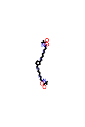 CC1(C)N=C(C/C=C/CC/C=C/C2CCC(/C=C/CC/C=C/CC3=NC(C)(C)C(=O)O3)C2)OC1=O